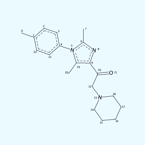 Cc1ccc(-n2c(C)nc(C(=O)CN3CCCCC3)c2C)cc1